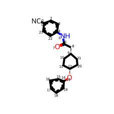 N#Cc1ccc(NC(=O)C[C@H]2CC[C@@H](Oc3ccccc3)CC2)cc1